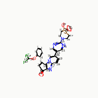 O=C1C[C@H](c2ccccc2OC(F)F)c2c1nc1ccc(-c3cnc(N4CCS(=O)(=O)CC4)nc3)cn21